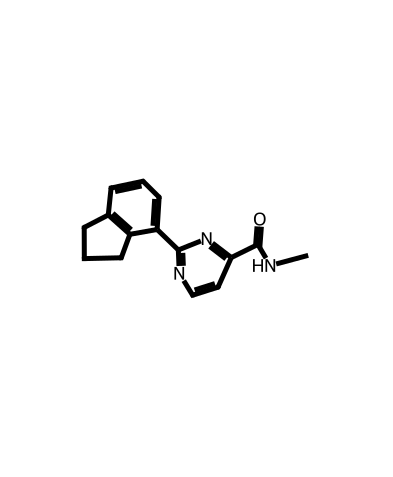 CNC(=O)c1ccnc(-c2cccc3c2CCC3)n1